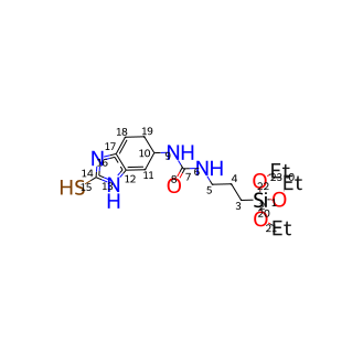 CCO[Si](CCCNC(=O)NC1C=c2[nH]c(S)nc2=CC1)(OCC)OCC